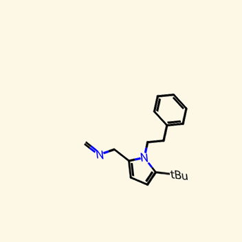 C=NCc1ccc(C(C)(C)C)n1CCc1ccccc1